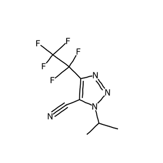 CC(C)n1nnc(C(F)(F)C(F)(F)F)c1C#N